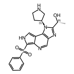 C[C@@H](O)c1nc2cnc3c(S(=O)(=O)c4ccccc4)[nH]cc3c2n1[C@H]1CCNC1